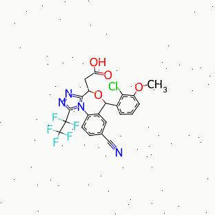 COc1cccc(C2OC(CC(=O)O)c3nnc(C(F)(F)C(F)(F)F)n3-c3ccc(C#N)cc32)c1Cl